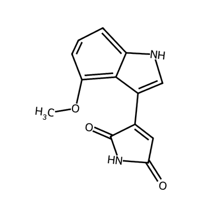 COc1cccc2[nH]cc(C3=CC(=O)NC3=O)c12